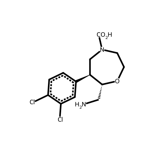 NC[C@H]1OCCN(C(=O)O)C[C@@H]1c1ccc(Cl)c(Cl)c1